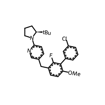 COc1ccc(Cc2ccc(N3CCC[C@H]3C(C)(C)C)nc2)c(F)c1-c1cccc(Cl)c1